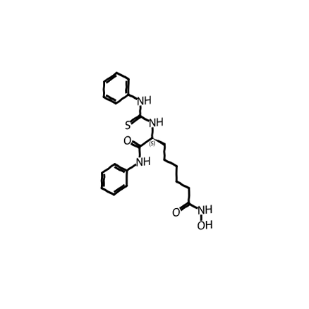 O=C(CCCCC[C@H](NC(=S)Nc1ccccc1)C(=O)Nc1ccccc1)NO